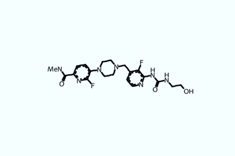 CNC(=O)c1ccc(N2CCN(Cc3ccnc(NC(=O)NCCO)c3F)CC2)c(F)n1